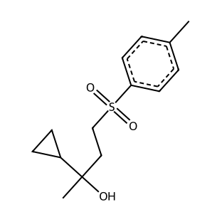 Cc1ccc(S(=O)(=O)CCC(C)(O)C2CC2)cc1